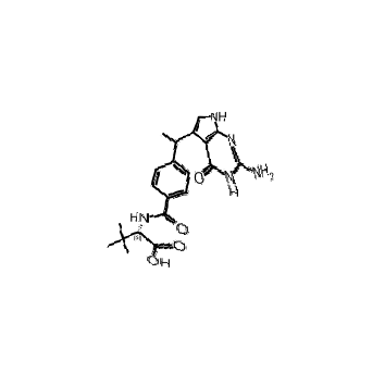 CC(c1ccc(C(=O)N[C@H](C(=O)O)C(C)(C)C)cc1)c1c[nH]c2nc(N)[nH]c(=O)c12